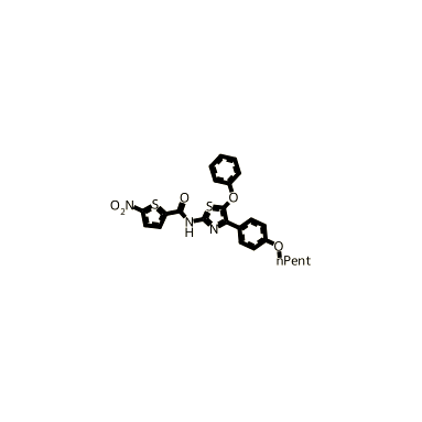 CCCCCOc1ccc(-c2nc(NC(=O)c3ccc([N+](=O)[O-])s3)sc2Oc2ccccc2)cc1